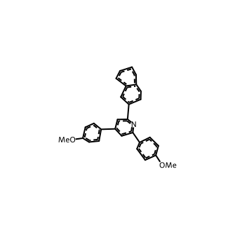 COc1ccc(-c2cc(-c3ccc(OC)cc3)nc(-c3ccc4ccccc4c3)c2)cc1